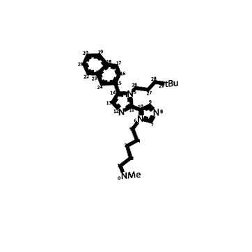 CNCCCCCn1cncc1-c1ncc(-c2ccc3ccccc3c2)n1CCCC(C)(C)C